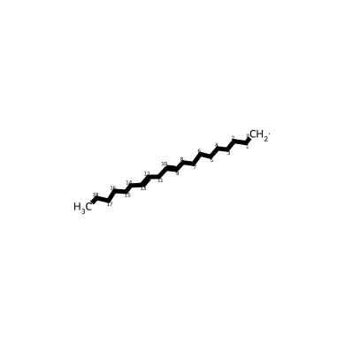 [CH2]CCCCCCCCC=CCC=CCCCCCC